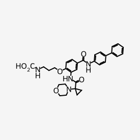 O=C(O)NCCCOc1ccc(C(=O)Nc2ccc(-c3ccccc3)cc2)cc1NC(=O)C1(N2CCOCC2)CC1